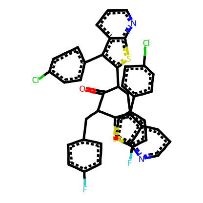 O=C(C(Cc1ccc(F)cc1)c1sc2ncccc2c1-c1ccc(Cl)cc1)C(Cc1ccc(F)cc1)c1sc2ncccc2c1-c1ccc(Cl)cc1